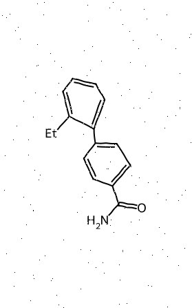 CCc1ccccc1-c1ccc(C(N)=O)cc1